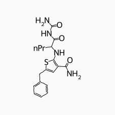 CCCC(Nc1sc(Cc2ccccc2)cc1C(N)=O)C(=O)NC(N)=O